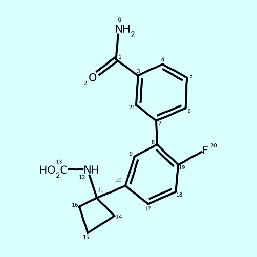 NC(=O)c1cccc(-c2cc(C3(NC(=O)O)CCC3)ccc2F)c1